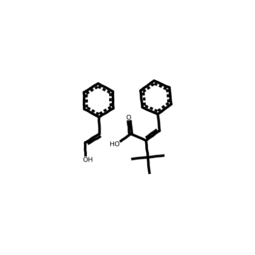 CC(C)(C)C(=Cc1ccccc1)C(=O)O.OC=Cc1ccccc1